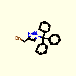 BrCc1cn(C(c2ccccc2)(c2ccccc2)c2ccccc2)nn1